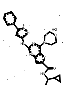 CC(NC(=O)c1cc2nc(Nc3cc(-c4ccccc4)[nH]n3)nc(N3CCOCC3)c2o1)C1CC1.Cl